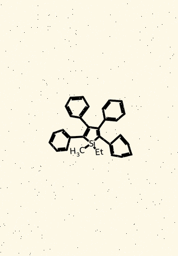 CC[Si]1(C)C(c2ccccc2)=C(c2ccccc2)C(c2ccccc2)=C1c1ccccc1